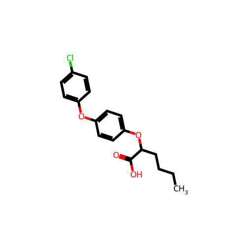 CCCCC(Oc1ccc(Oc2ccc(Cl)cc2)cc1)C(=O)O